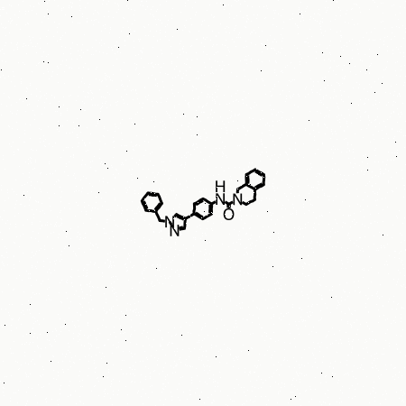 O=C(Nc1ccc(-c2cnn(Cc3ccccc3)c2)cc1)N1CCc2ccccc2C1